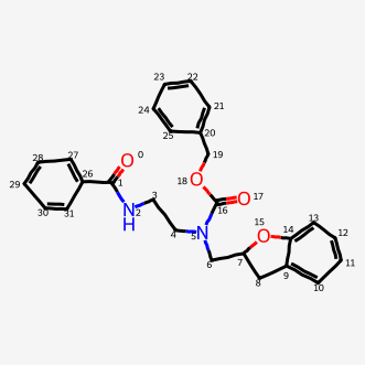 O=C(NCCN(CC1Cc2ccccc2O1)C(=O)OCc1ccccc1)c1ccccc1